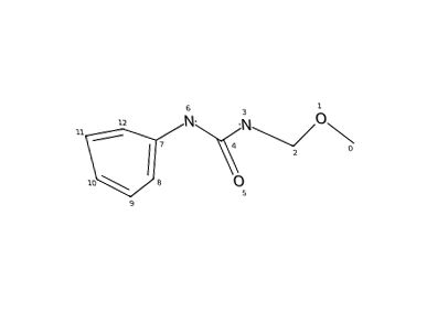 COC[N]C(=O)[N]c1ccccc1